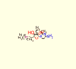 C=C1N=C(N)C=CN1C1OC(CCP(=C)(C)C)[C@@H](O)[C@@]1(C)O